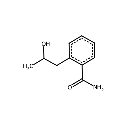 CC(O)Cc1ccccc1C(N)=O